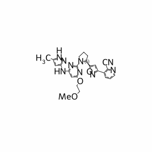 COCCOc1cc(Nc2cc(C)[nH]n2)nc(N2CCC[C@H]2c2cc(-c3cccnc3C#N)no2)n1